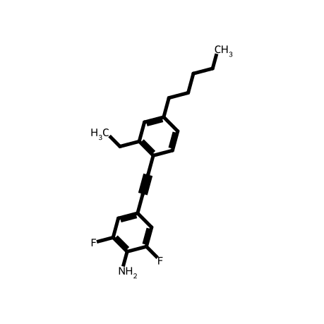 CCCCCc1ccc(C#Cc2cc(F)c(N)c(F)c2)c(CC)c1